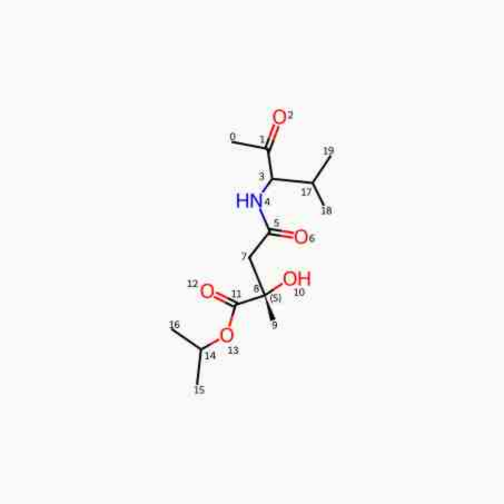 CC(=O)C(NC(=O)C[C@](C)(O)C(=O)OC(C)C)C(C)C